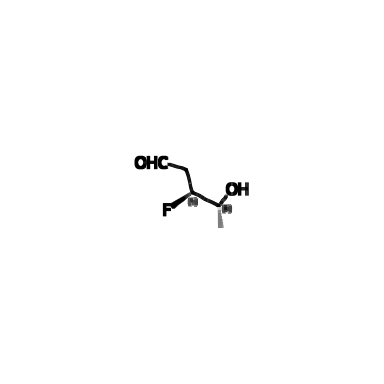 C[C@@H](O)[C@@H](F)CC=O